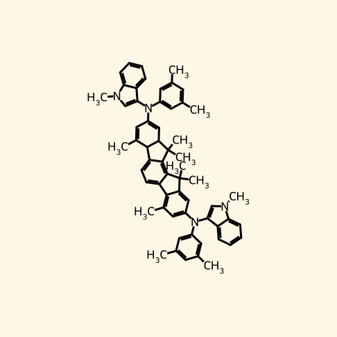 CC1=CC(N(c2cc(C)cc(C)c2)c2cn(C)c3ccccc23)=CC2C1c1ccc3c(c1C2(C)C)C(C)(C)c1cc(N(c2cc(C)cc(C)c2)c2cn(C)c4ccccc24)cc(C)c1-3